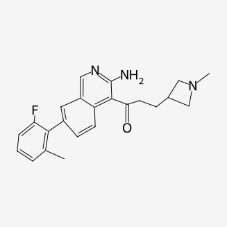 Cc1cccc(F)c1-c1ccc2c(C(=O)CCC3CN(C)C3)c(N)ncc2c1